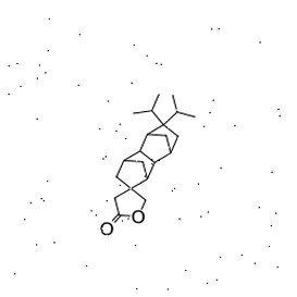 CC(C)C1(C(C)C)CC2CC1C1C3CC(C21)C1(COC(=O)C1)C3